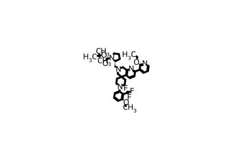 CCOc1ncccc1-c1ccc2c(n1)CN(C[C@H]1CCCN1C(=O)OC(C)(C)C)CC21CCN(c2cccc(OC)c2C(F)(F)F)CC1